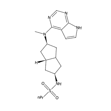 CCCS(=O)(=O)N[C@@H]1CC2C[C@H](N(C)c3ncnc4[nH]ccc34)C[C@H]2C1